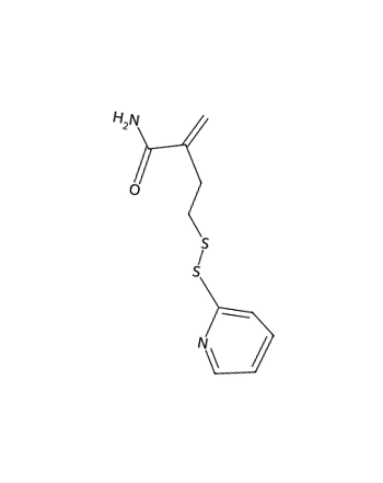 C=C(CCSSc1ccccn1)C(N)=O